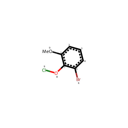 COc1cccc(Br)c1OCl